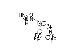 O=C(NCCCn1cc(-c2ccc(OC(F)(F)F)cc2)c2cc(CN3CCN(Cc4ccccc4C(F)(F)F)CC3)ccc21)C1CNCCN1